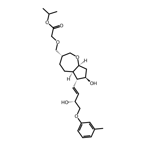 Cc1cccc(OC[C@H](O)/C=C/[C@@H]2[C@H]3CC[C@H](COCC(=O)OC(C)C)CO[C@H]3C[C@H]2O)c1